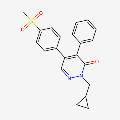 CS(=O)(=O)c1ccc(-c2cnn(CC3CC3)c(=O)c2-c2ccccc2)cc1